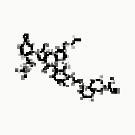 C=CCOc1ccc(N(C(=O)c2cc(-c3cc(Cl)ccc3C(=O)OC(C)(C)C)n(C)c2C)c2cnc(C)n(CCOc3cccc4c3CCN(C(=O)O)C4)c2=O)cc1